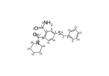 NC(=O)c1cc(SCc2ccccc2)ccc1C(=O)N1CCCCC1